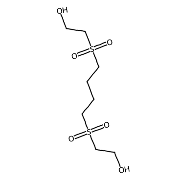 O=S(=O)(CCO)CCCCS(=O)(=O)CCO